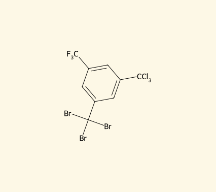 FC(F)(F)c1cc(C(Cl)(Cl)Cl)cc(C(Br)(Br)Br)c1